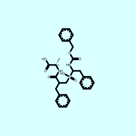 C[C@H](NC(=O)C(Cc1ccccc1)CP(=O)(O)C(Cc1ccccc1)NC(=O)OCc1ccccc1)C(=O)O